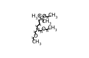 CCOCN(CCC[Si](C)(C)OCC)COCC